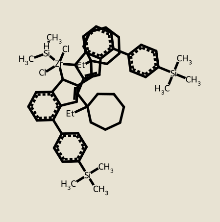 CCC1(CC2=Cc3c(-c4ccc([Si](C)(C)C)cc4)cccc3[CH]2[Zr]([Cl])([Cl])([CH]2C(CC3(CC)CCCCCC3)=Cc3c(-c4ccc([Si](C)(C)C)cc4)cccc32)[SiH](C)C)CCCCCC1